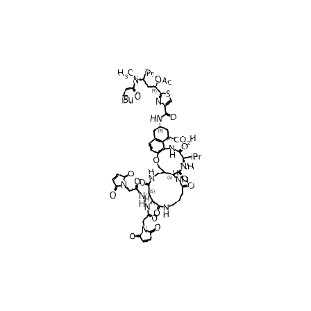 CCC(C)CC(=O)N(C)C(C[C@@H](OC(C)=O)c1nc(C(=O)N[C@H]2Cc3ccc4c(c3[C@H](C(=O)O)C2)NC(=O)C(C(C)C)NC(=O)[C@H]2NC(=O)CCCNC(=O)[C@H](NC(=O)CN3C(=O)C=CC3=O)[C@H](NC(=O)CN3C(=O)C=CC3=O)C(=O)NCC2CO4)cs1)C(C)C